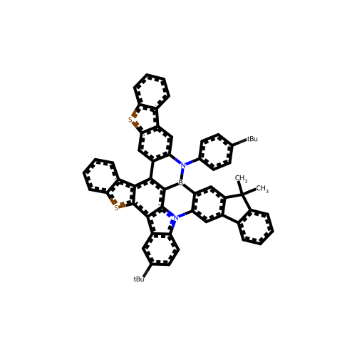 CC(C)(C)c1ccc(N2B3c4cc5c(cc4-n4c6ccc(C(C)(C)C)cc6c6c7sc8ccccc8c7c(c3c64)-c3cc4sc6ccccc6c4cc32)-c2ccccc2C5(C)C)cc1